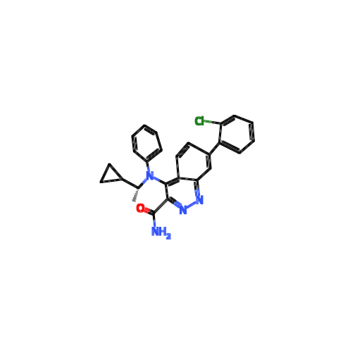 C[C@H](C1CC1)N(c1ccccc1)c1c(C(N)=O)nnc2cc(-c3ccccc3Cl)ccc12